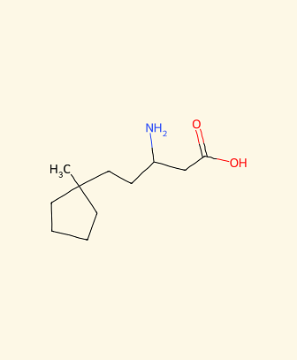 CC1(CCC(N)CC(=O)O)CCCC1